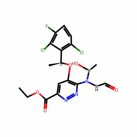 CCOC(=O)c1cc(O[C@@H](C)c2c(Cl)ccc(F)c2Cl)c(N(BC=O)B(C)O)nn1